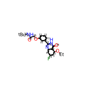 CCOc1cc(F)cc2nc(-c3cccc(OCC(=O)NC(C)(C)C)c3)[nH]c(=O)c12